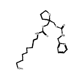 CCCCCCCCCCCCCCCCCCNC(=O)OCC1(COC(=O)NCc2ccccn2)CCCO1